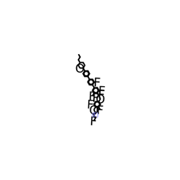 CCCC1CCC(c2ccc(-c3ccc(-c4cc(F)c(C(F)(F)Oc5cc(F)c(O/C=C/CF)c(F)c5)c(F)c4)c(F)c3)cc2)OC1